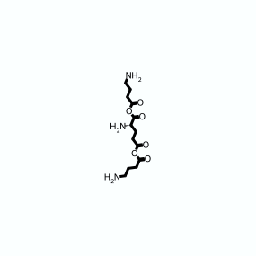 NCCCC(=O)OC(=O)CC[C@H](N)C(=O)OC(=O)CCCN